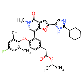 Cc1cc(F)cc(C)c1Oc1ccc(CC(=O)OC(C)C)cc1-c1cn(C)c(=O)c2cc(-c3cnc(C4CCCCC4)[nH]3)oc12